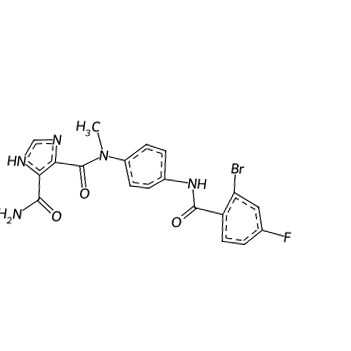 CN(C(=O)c1nc[nH]c1C(N)=O)c1ccc(NC(=O)c2ccc(F)cc2Br)cc1